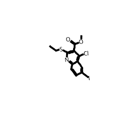 CCSc1nc2ccc(I)cc2c(Cl)c1C(=O)OC